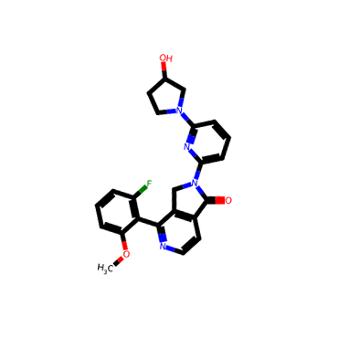 COc1cccc(F)c1-c1nccc2c1CN(c1cccc(N3CCC(O)C3)n1)C2=O